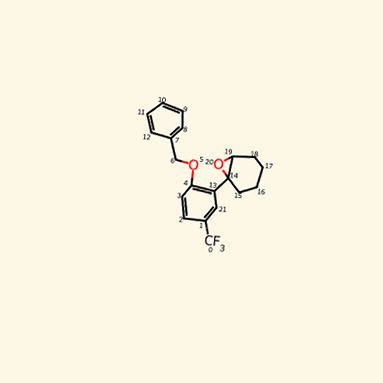 FC(F)(F)c1ccc(OCc2ccccc2)c(C23CCCCC2O3)c1